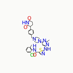 Cc1nc(Nc2ncc(C(=O)Nc3c(C)cccc3Cl)s2)cc(N2CCN(Cc3ccc(C4CCC(=O)NC4=O)cc3)CC2)n1